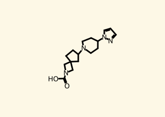 O=C(O)N1CC2(CCC(N3CCC(n4cccn4)CC3)C2)C1